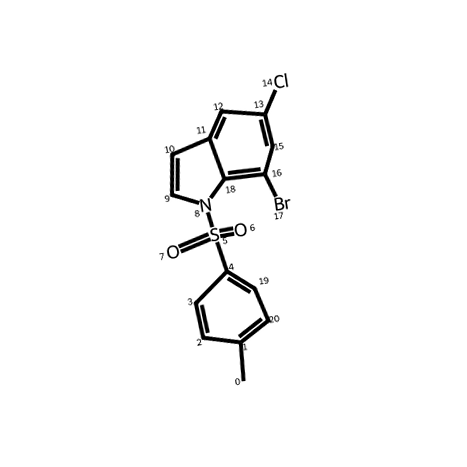 Cc1ccc(S(=O)(=O)n2ccc3cc(Cl)cc(Br)c32)cc1